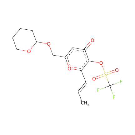 C/C=C/c1oc(COC2CCCCO2)cc(=O)c1OS(=O)(=O)C(F)(F)F